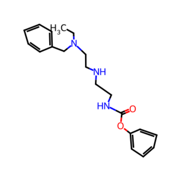 CCN(CCNCCNC(=O)Oc1ccccc1)Cc1ccccc1